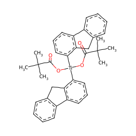 CC(C)(C)C(=O)[O][Ti]([O]C(=O)C(C)(C)C)([c]1cccc2c1Cc1ccccc1-2)[c]1cccc2c1Cc1ccccc1-2